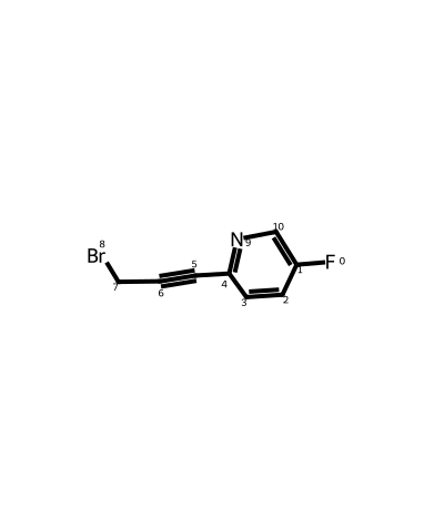 Fc1ccc(C#CCBr)nc1